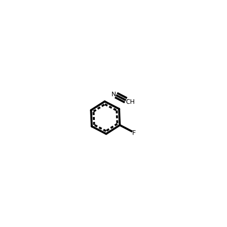 C#N.Fc1ccccc1